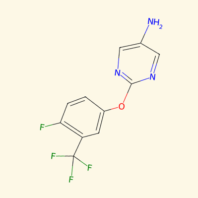 Nc1cnc(Oc2ccc(F)c(C(F)(F)F)c2)nc1